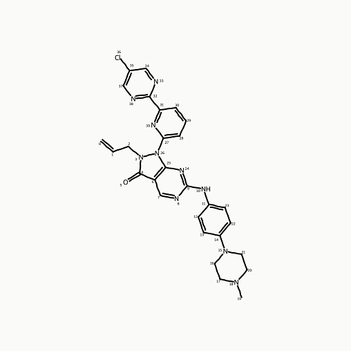 C=CCn1c(=O)c2cnc(Nc3ccc(N4CCN(C)CC4)cc3)nc2n1-c1cccc(-c2ncc(Cl)cn2)n1